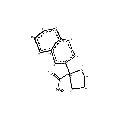 CNC(=S)C1(c2cnc3ccccc3c2)CCCS1